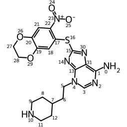 Nc1ncn(CCC2CCNCC2)c2nc(Sc3cc4c(cc3[N+](=O)[O-])OCCO4)nc1-2